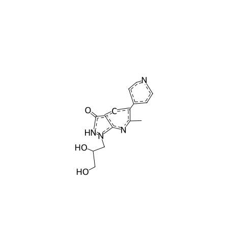 Cc1nc2c(cc1-c1ccncc1)c(=O)[nH]n2CC(O)CO